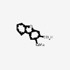 COc1cc2c(cc1C(=O)O)oc1ccccc12